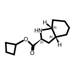 O=C(OC1CCC1)[C@@H]1C[C@H]2CCCC[C@H]2N1